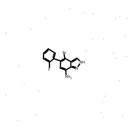 Nc1cc(-c2ccccc2F)c(Br)c2c[nH]nc12